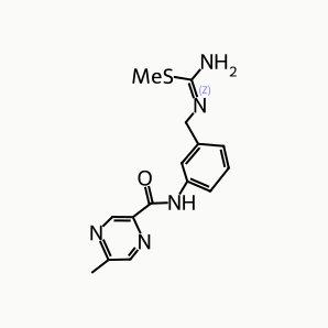 CS/C(N)=N\Cc1cccc(NC(=O)c2cnc(C)cn2)c1